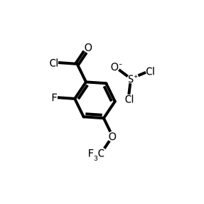 O=C(Cl)c1ccc(OC(F)(F)F)cc1F.[O-][S+](Cl)Cl